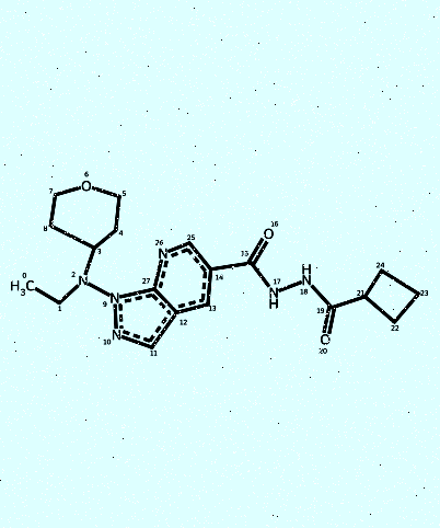 CCN(C1CCOCC1)n1ncc2cc(C(=O)NNC(=O)C3CCC3)cnc21